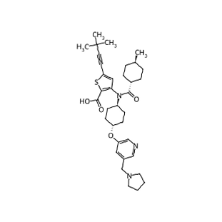 CC(C)(C)C#Cc1cc(N(C(=O)[C@H]2CC[C@H](C)CC2)[C@H]2CC[C@H](Oc3cncc(CN4CCCC4)c3)CC2)c(C(=O)O)s1